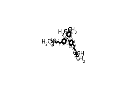 C=CC(=O)OCCCc1ccc(N(c2ccc(CCCOC(O)C=C)cc2)c2ccc(C)c(C)c2)cc1